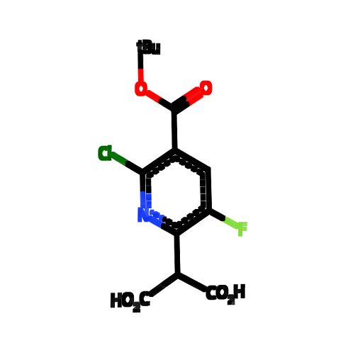 CC(C)(C)OC(=O)c1cc(F)c(C(C(=O)O)C(=O)O)nc1Cl